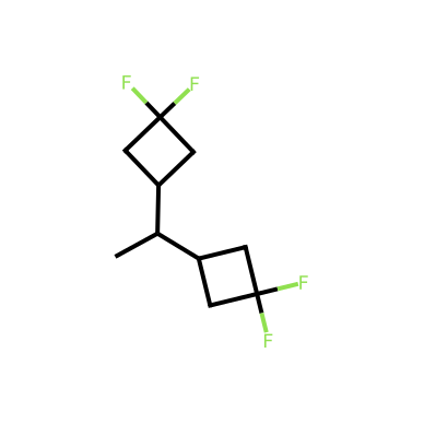 CC(C1CC(F)(F)C1)C1CC(F)(F)C1